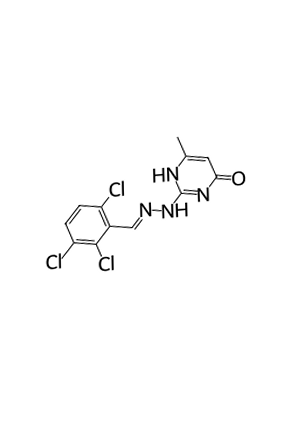 Cc1cc(=O)nc(NN=Cc2c(Cl)ccc(Cl)c2Cl)[nH]1